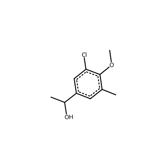 COc1c(C)cc(C(C)O)cc1Cl